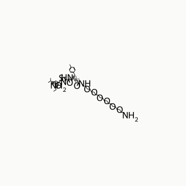 CCCOC(C[C@@H](N)C(C)C)c1nc(C(=O)N[C@@H](Cc2ccc(C)cc2)C[C@H](C)C(=O)NCCOCCOCCOCCOCCOCCOCCN)cs1